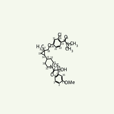 COc1cccc(C(O)(C(=O)N2CCC(C3CC3(C)COc3ccc(C(=O)N(C)C)c(Cl)c3)CC2)C(F)(F)F)c1